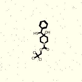 O=C(OCC(Cl)(Cl)Cl)N1CCC(O)(C(S)c2ccccc2)CC1